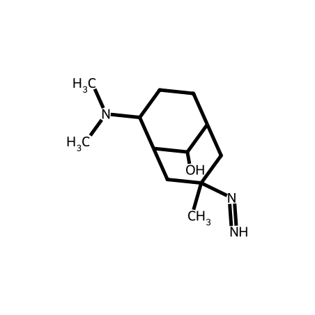 CN(C)C1CCC2CC(C)(N=N)CC1C2O